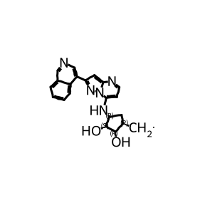 [CH2][C@@H]1C[C@@H](Nc2ccnc3cc(-c4cncc5ccccc45)nn23)[C@H](O)[C@@H]1O